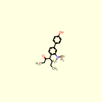 Br.CCCC(C(=O)CC)c1ccc(-c2ccc(O)cc2)cc1N(C)C